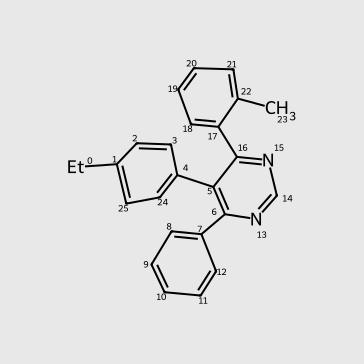 CCc1ccc(-c2c(-c3ccccc3)ncnc2-c2ccccc2C)cc1